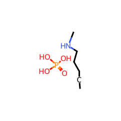 CCCCCNC.O=P(O)(O)O